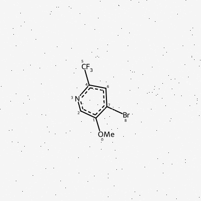 COc1cnc(C(F)(F)F)cc1Br